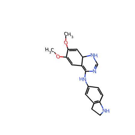 COC1=CC2=C(Nc3ccc4c(c3)CCN4)N=CNC2C=C1OC